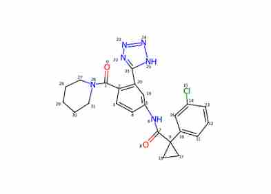 O=C(c1ccc(NC(=O)C2(c3cccc(Cl)c3)CC2)cc1-c1nnn[nH]1)N1CCCCC1